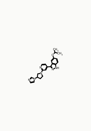 CC(C)Oc1ccc2[nH]nc(-c3ccnc(N4CCC(n5ccnc5)C4)c3)c2c1